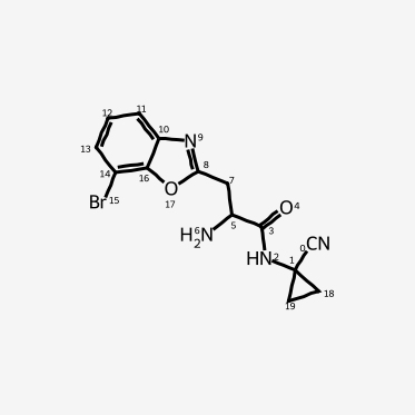 N#CC1(NC(=O)C(N)Cc2nc3cccc(Br)c3o2)CC1